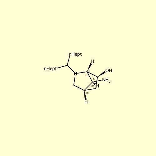 CCCCCCCC(CCCCCCC)N1C[C@H]2C[C@H](O)[C@@H]1[C@@H]2N